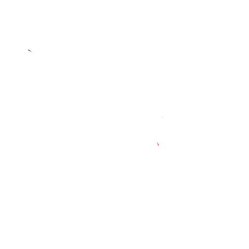 CCCCOC(=O)O[C@H]1OC(c2ccc(OCCC[C@H]3CC[C@H](CCC)CC3)cc2)O[C@@H]1OC(=O)OCCCC